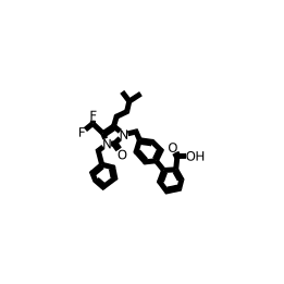 CC(C)CCc1c(C(F)F)n(Cc2ccccc2)c(=O)n1Cc1ccc(-c2ccccc2C(=O)O)cc1